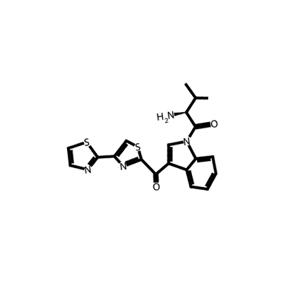 CC(C)[C@H](N)C(=O)n1cc(C(=O)c2nc(-c3nccs3)cs2)c2ccccc21